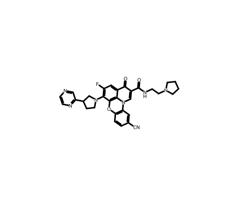 N#Cc1ccc2c(c1)-n1cc(C(=O)NCCN3CCCC3)c(=O)c3cc(F)c(N4CCC(c5cnccn5)C4)c(c31)O2